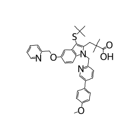 COc1ccc(-c2ccc(Cn3c(CC(C)(C)C(=O)O)c(SC(C)(C)C)c4cc(OCc5ccccn5)ccc43)nc2)cc1